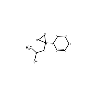 CC(=O)C(C)CC1(C2C=CCCC2)CC1